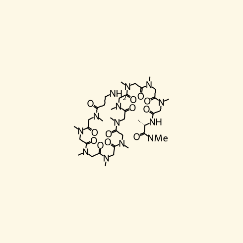 CNC(=O)[C@H](C)NC(=O)CN(C)C(=O)CN(C)C(=O)CN(C)C(=O)CN(C)C(=O)CN(C)C(=O)CN(C)C(=O)CN(C)C(=O)CN(C)C(=O)CN(C)C(=O)CN(C)C(=O)CCN